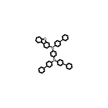 c1ccc(-c2ccc(N(c3ccc(-c4ccccc4)cc3)c3ccc(N(c4ccc(-c5ccccc5)cc4)c4ccc5c(c4)oc4ccccc45)cc3)cc2)cc1